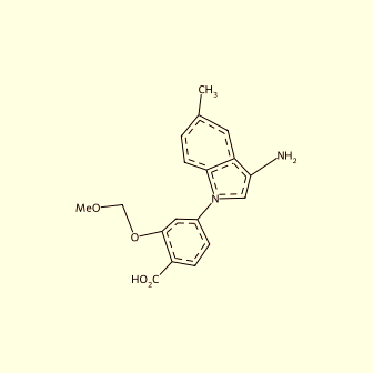 COCOc1cc(-n2cc(N)c3cc(C)ccc32)ccc1C(=O)O